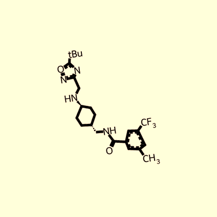 Cc1cc(C(=O)NC[C@H]2CC[C@H](NCc3noc(C(C)(C)C)n3)CC2)cc(C(F)(F)F)c1